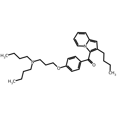 CCCCc1cc2ccccn2c1C(=O)c1ccc(OCCCN(CCCC)CCCC)cc1